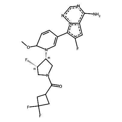 COC1C=CC(c2c(F)cc3c(N)ncnn23)=CN1[C@@H]1CN(C(=O)C2CC(F)(F)C2)C[C@@H]1F